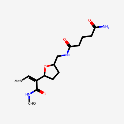 CN/C=C(\C(=O)NC=O)C1CCC(CNC(=O)CCCC(N)=O)O1